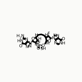 Nc1nc2c(nnn2[C@@H]2O[C@@H]3CCC[C@H]4[C@H](F)[C@H](n5nnc6c(=O)[nH]cnc65)O[C@@H]4COP(=O)(S)O[C@@H]2[C@@H]3F)c(=O)[nH]1